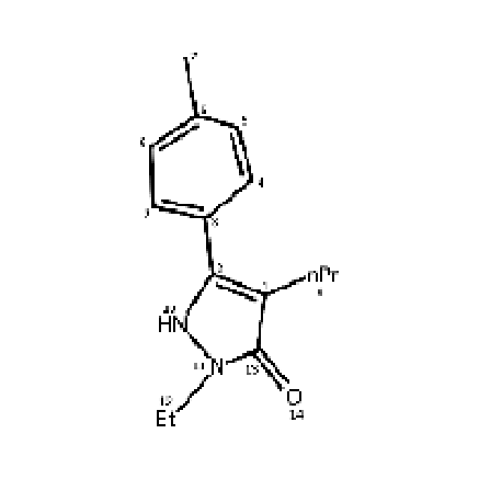 CCCc1c(-c2ccc(C)cc2)[nH]n(CC)c1=O